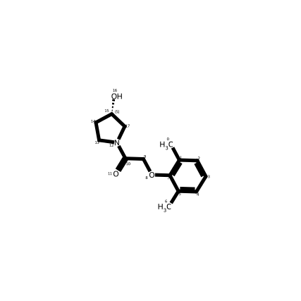 Cc1c[c]cc(C)c1OCC(=O)N1CC[C@H](O)C1